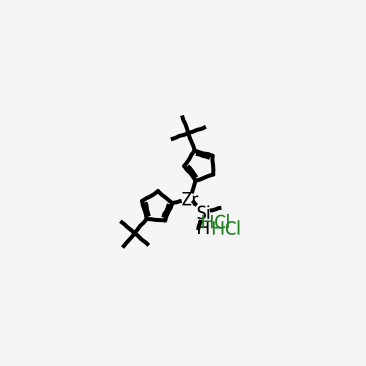 C[SiH](C)[Zr]([C]1=CC(C(C)(C)C)=CC1)[C]1=CC(C(C)(C)C)=CC1.Cl.Cl